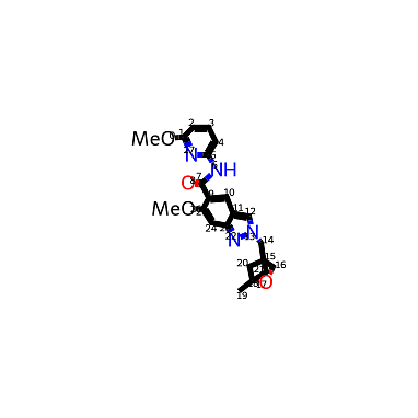 COc1cccc(NC(=O)c2cc3cn(CC45COC(C)(C4)C5)nc3cc2OC)n1